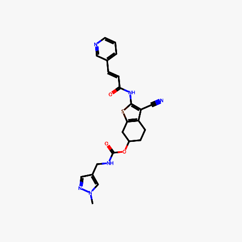 Cn1cc(CNC(=O)OC2CCc3c(sc(NC(=O)/C=C/c4cccnc4)c3C#N)C2)cn1